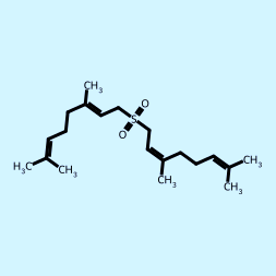 CC(C)=CCCC(C)=CCS(=O)(=O)CC=C(C)CCC=C(C)C